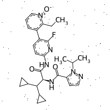 CCc1c(-c2ccc(NC(=O)[C@@H](NC(=O)c3ccnn3C(C)C)C(C3CC3)C3CC3)nc2F)ccc[n+]1[O-]